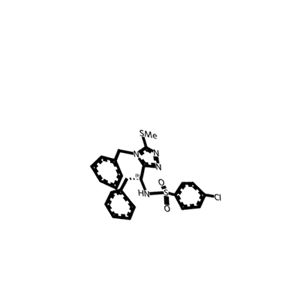 CSc1nnc([C@@H](Cc2ccccc2)NS(=O)(=O)c2ccc(Cl)cc2)n1Cc1ccccc1